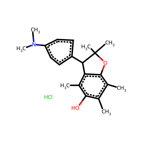 Cc1c(C)c2c(c(C)c1O)C(c1ccc(N(C)C)cc1)C(C)(C)O2.Cl